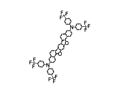 FC(F)(F)c1ccc(N(c2ccc(C(F)(F)F)cc2)c2ccc3c(ccc4c5cc6c(cc5oc34)oc3c4ccc(N(c5ccc(C(F)(F)F)cc5)c5ccc(C(F)(F)F)cc5)cc4ccc63)c2)cc1